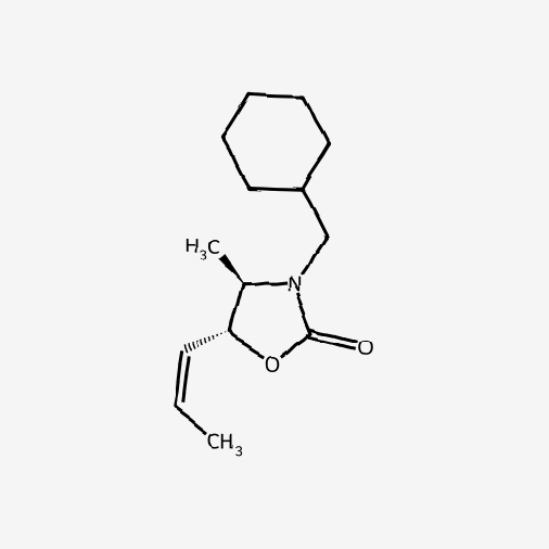 C/C=C\[C@H]1OC(=O)N(CC2CCCCC2)[C@@H]1C